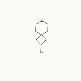 CCC1CC2(CCOCC2)C1